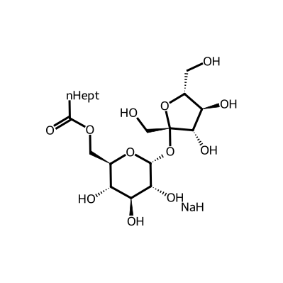 CCCCCCCC(=O)OC[C@H]1O[C@H](O[C@]2(CO)O[C@H](CO)[C@@H](O)[C@@H]2O)[C@H](O)[C@@H](O)[C@@H]1O.[NaH]